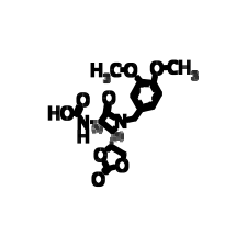 COc1ccc(CN2C(=O)[C@@H](NC(=O)O)[C@H]2C2COC(=O)O2)cc1OC